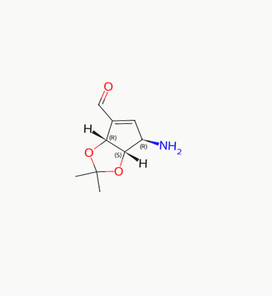 CC1(C)O[C@H]2[C@H](N)C=C(C=O)[C@H]2O1